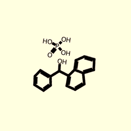 O=P(O)(O)O.OC(c1ccccc1)c1cccc2ccccc12